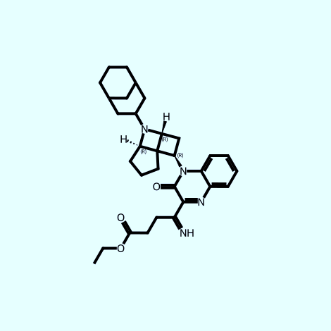 CCOC(=O)CCC(=N)c1nc2ccccc2n([C@@H]2C[C@H]3N(C4CC5CCCC(C5)C4)[C@@H]4CCCC432)c1=O